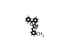 Cc1cccc(CC2CC(c3ccccc3C(=O)c3ccccc3)=NO2)c1